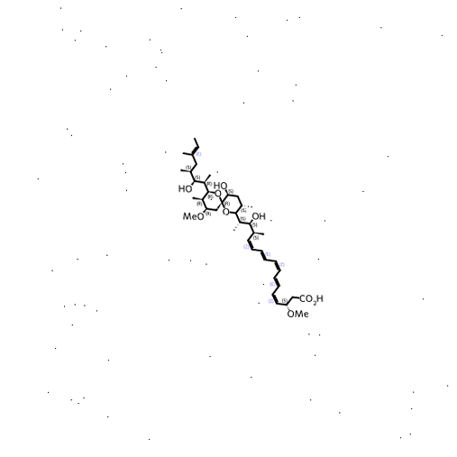 C/C=C(\C)C[C@H](C)[C@H](O)[C@@H](C)[C@H]1O[C@@]2(C[C@@H](OC)[C@H]1C)OC([C@@H](C)[C@@H](O)[C@@H](C)\C=C/C=C/C=C\C=C\C=C/[C@H](CC(=O)O)OC)[C@@H](C)C[C@@H]2O